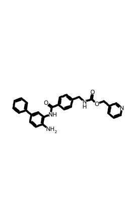 Nc1ccc(-c2ccccc2)cc1NC(=O)c1ccc(CNC(=O)OCc2cccnc2)cc1